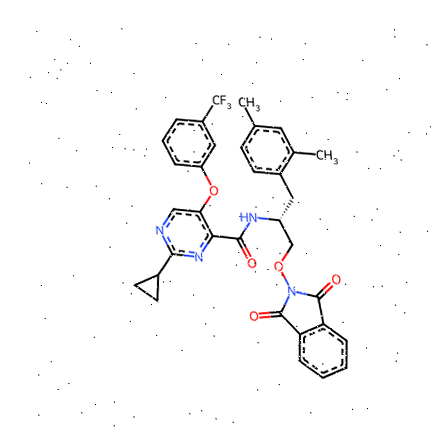 Cc1ccc(C[C@H](CON2C(=O)c3ccccc3C2=O)NC(=O)c2nc(C3CC3)ncc2Oc2cccc(C(F)(F)F)c2)c(C)c1